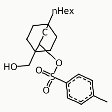 CCCCCCC12CCC(CO)(CC1)C(OS(=O)(=O)c1ccc(C)cc1)C2